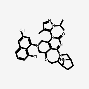 Cc1cnn(C(C)C)c1-n1c2c3c(nc1=O)N1CC4CCC(N4)C1COC3CN(c1cc(O)cc3cccc(Cl)c13)C2